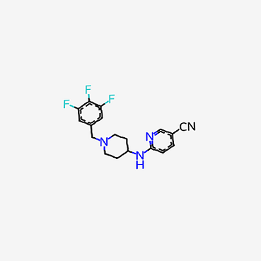 N#Cc1ccc(NC2CCN(Cc3cc(F)c(F)c(F)c3)CC2)nc1